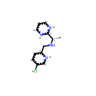 C[C@H](NCc1ccc(Cl)cn1)c1ncccn1